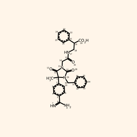 CC1(c2ccc(C(=N)N)cc2)C(=O)N(CC(=O)NCC(C(=O)O)c2ccccc2)C(=O)N1Cc1ccccc1